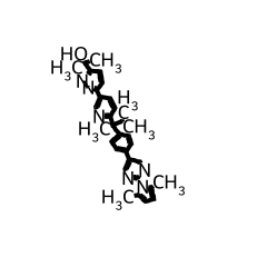 Cc1ccc(C)n1-c1ncc(-c2ccc(C(C)(c3ccc(-c4ccc(C(C)(C)O)nn4)cn3)C(C)C)cc2)cn1